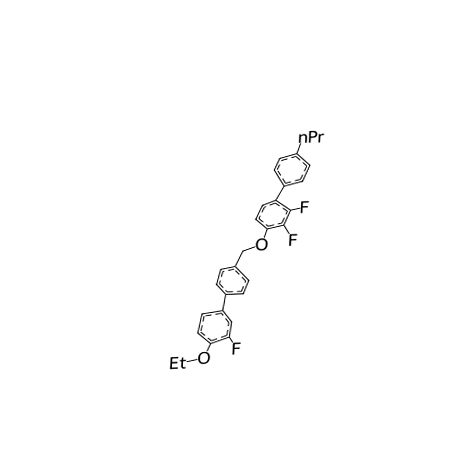 CCCc1ccc(-c2ccc(OCc3ccc(-c4ccc(OCC)c(F)c4)cc3)c(F)c2F)cc1